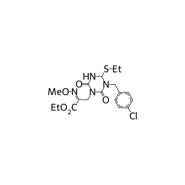 CCOC(=O)C(CN1C(=O)NC(SCC)N(Cc2ccc(Cl)cc2)C1=O)=NOC